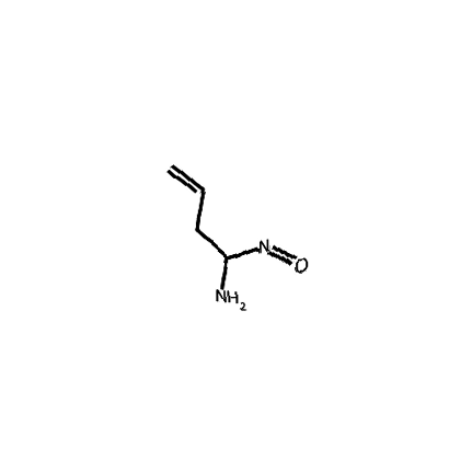 C=CCC(N)N=O